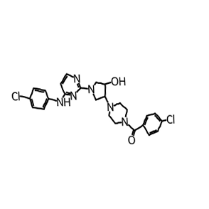 O=C(c1ccc(Cl)cc1)N1CCN(C2CN(c3nccc(Nc4ccc(Cl)cc4)n3)CC2O)CC1